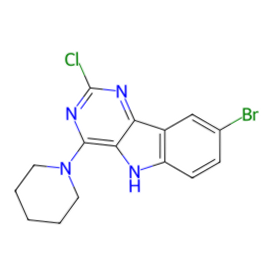 Clc1nc(N2CCCCC2)c2[nH]c3ccc(Br)cc3c2n1